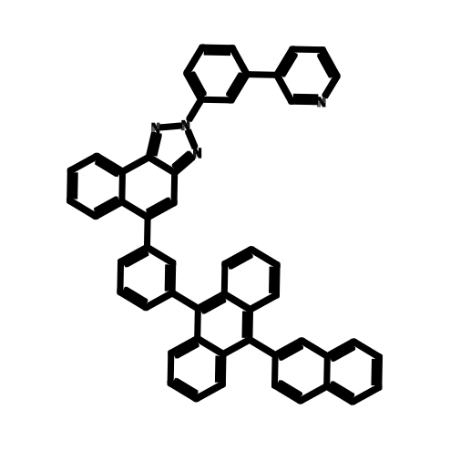 c1cncc(-c2cccc(-n3nc4cc(-c5cccc(-c6c7ccccc7c(-c7ccc8ccccc8c7)c7ccccc67)c5)c5ccccc5c4n3)c2)c1